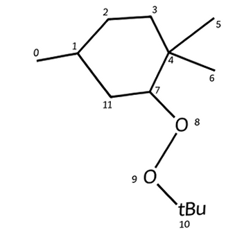 CC1CCC(C)(C)C(OOC(C)(C)C)C1